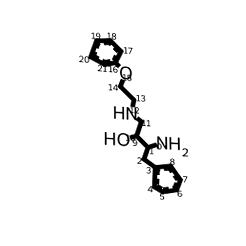 NC(Cc1ccccc1)C(O)CNCCOc1ccccc1